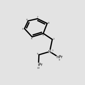 CCCN(Cc1ccccc1)CC(C)C